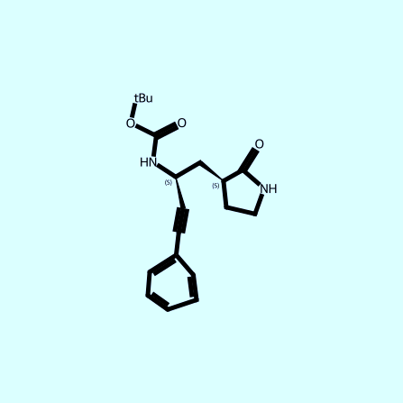 CC(C)(C)OC(=O)N[C@H](C#Cc1ccccc1)C[C@@H]1CCNC1=O